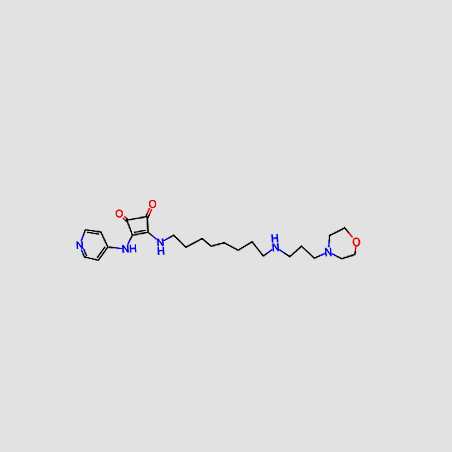 O=c1c(NCCCCCCCCNCCCN2CCOCC2)c(Nc2ccncc2)c1=O